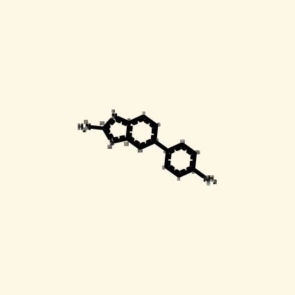 Nc1ccc(-c2ccc3nc(N)sc3c2)cc1